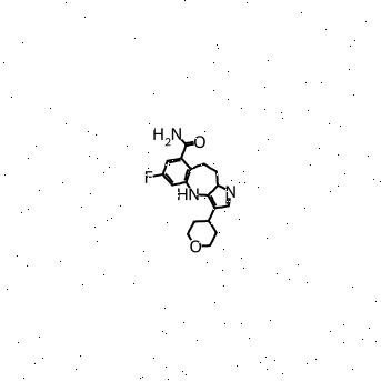 NC(=O)c1cc(F)cc2c1CCC1N=CC(C3CCOCC3)=C1N2